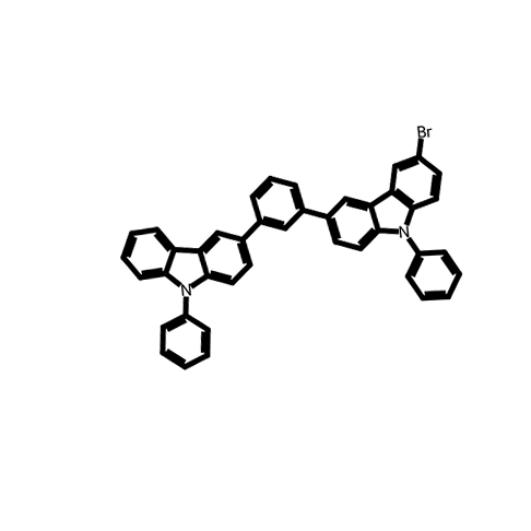 Brc1ccc2c(c1)c1cc(-c3cccc(-c4ccc5c(c4)c4ccccc4n5-c4ccccc4)c3)ccc1n2-c1ccccc1